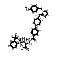 COc1ccc(CN2CCN=C2NC2CCN(c3ccc(C(=O)NC[C@H](NS(=O)(=O)c4ccccc4C(C)(C)C)C(=O)O)cc3)CC2)cc1